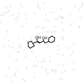 OC(=CC(O)CC1CCCCC1)C1CCCCC1